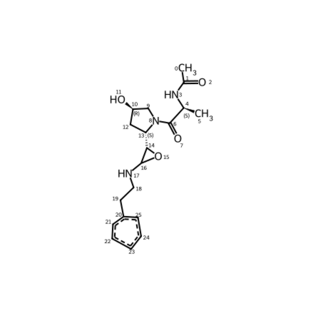 CC(=O)N[C@@H](C)C(=O)N1C[C@H](O)C[C@H]1C1OC1NCCc1ccccc1